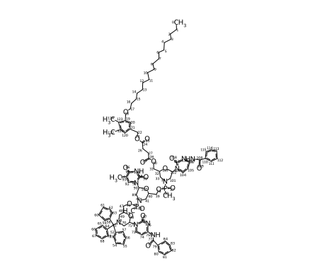 CCCCCCCCCCCCCCCCCCOc1cc(COC(=O)CCC(=O)OCC2CN(P(C)(=O)OCC3CN(P(C)(=O)OCC4CN(C(c5ccccc5)(c5ccccc5)c5ccccc5)CC(n5ccc(NC(=O)c6ccccc6)nc5=O)O4)CC(n4cc(C)c(=O)[nH]c4=O)O3)CC(n3ccc(NC(=O)c4ccccc4)nc3=O)O2)cc(C)c1C